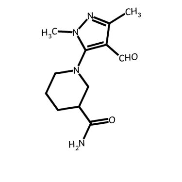 Cc1nn(C)c(N2CCCC(C(N)=O)C2)c1C=O